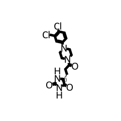 O=C1NC(=O)[C@@H](CCC(=O)N2CCN(c3ccc(Cl)c(Cl)c3)CC2)N1